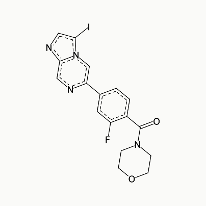 O=C(c1ccc(-c2cn3c(I)cnc3cn2)cc1F)N1CCOCC1